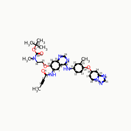 CC#CC(=O)Nc1cc2c(Nc3ccc(Oc4ccn5ncnc5c4)c(C)c3)ncnc2cc1OCCN(C)C(=O)OC(C)(C)C